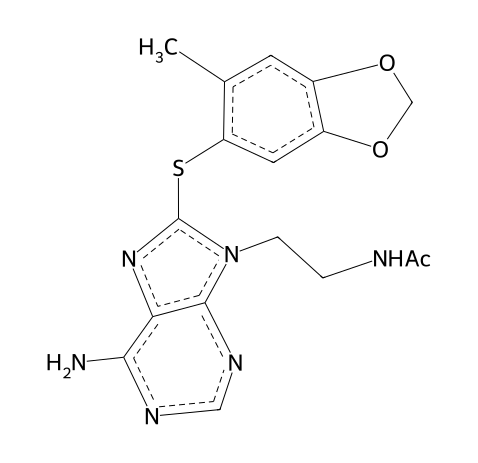 CC(=O)NCCn1c(Sc2cc3c(cc2C)OCO3)nc2c(N)ncnc21